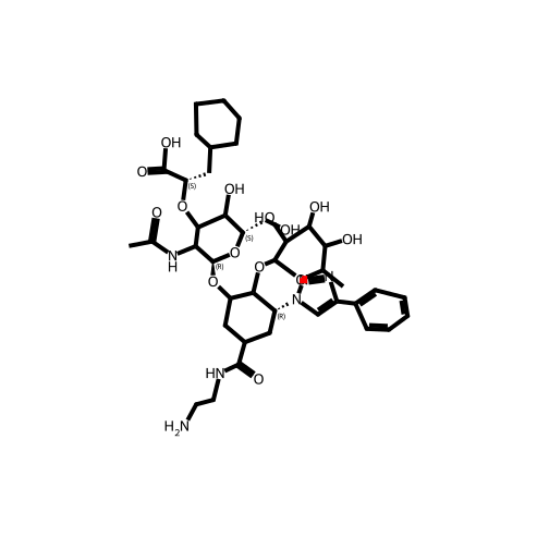 CC(=O)NC1C(O[C@@H](CC2CCCCC2)C(=O)O)C(O)[C@H](CO)O[C@H]1OC1CC(C(=O)NCCN)C[C@@H](n2cc(-c3ccccc3)nn2)C1OC1OC(C)C(O)C(O)C1O